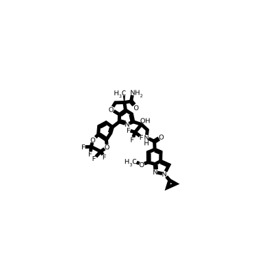 COc1cc(C(=O)NCC(O)(c2cc3c(c(-c4ccc5c(c4)OC(F)(F)C(F)(F)O5)n2)OC[C@]3(C)C(N)=O)C(F)(F)F)cc2cn(C3CC3)nc12